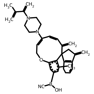 C=C(C)C(=C)N1CCN(C2=C/COc3cc(B(O)C#N)cc(C(F)(F)F)c3C3(CC(=C)C4=C3CCC=C4)C(=C)/C=C\2)CC1